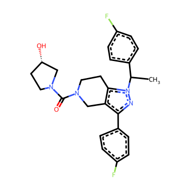 CC(c1ccc(F)cc1)n1nc(-c2ccc(F)cc2)c2c1CCN(C(=O)N1CC[C@H](O)C1)C2